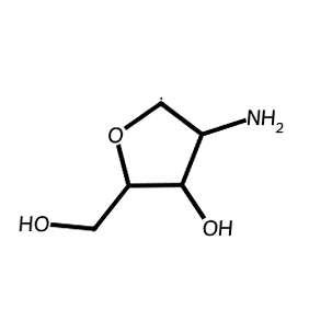 NC1[CH]OC(CO)C1O